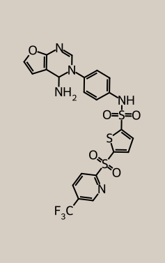 NC1c2ccoc2N=CN1c1ccc(NS(=O)(=O)c2ccc(S(=O)(=O)c3ccc(C(F)(F)F)cn3)s2)cc1